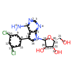 Nc1ncnc2c1c(-c1cc(Cl)cc(Cl)c1)cn2C1O[C@H](CO)[C@@H](O)[C@H]1O